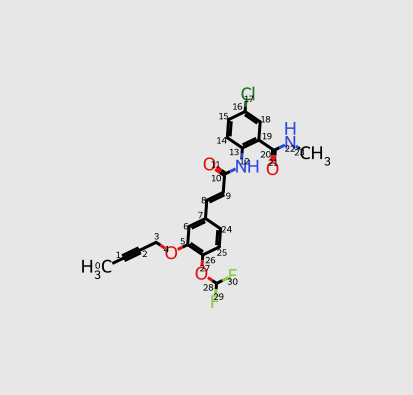 CC#CCOc1cc(C=CC(=O)Nc2ccc(Cl)cc2C(=O)NC)ccc1OC(F)F